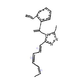 C=Cc1ccccc1C(=C)n1c(C)nnc1/C=C/C=C\C=C/C